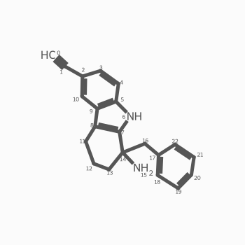 C#Cc1ccc2[nH]c3c(c2c1)CCCC3(N)Cc1ccccc1